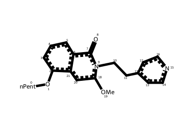 CCCCCOc1cccc2c(=O)n(CCc3ccncc3)c(OC)cc12